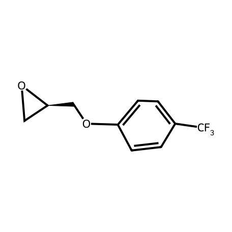 FC(F)(F)c1ccc(OC[C@H]2CO2)cc1